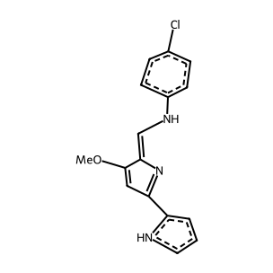 COC1=CC(c2ccc[nH]2)=NC1=CNc1ccc(Cl)cc1